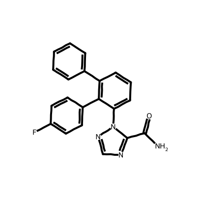 NC(=O)c1ncnn1-c1cccc(-c2ccccc2)c1-c1ccc(F)cc1